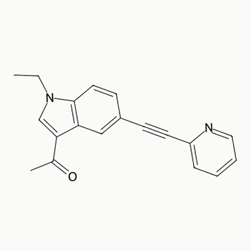 CCn1cc(C(C)=O)c2cc(C#Cc3ccccn3)ccc21